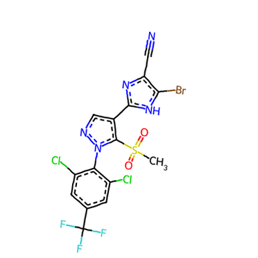 CS(=O)(=O)c1c(-c2nc(C#N)c(Br)[nH]2)cnn1-c1c(Cl)cc(C(F)(F)F)cc1Cl